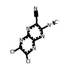 [C-]#[N+]c1nc2nc(Cl)c(Cl)nc2nc1C#N